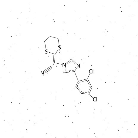 N#CC(=C1SCCCS1)n1cnc(-c2ccc(Cl)cc2Cl)c1